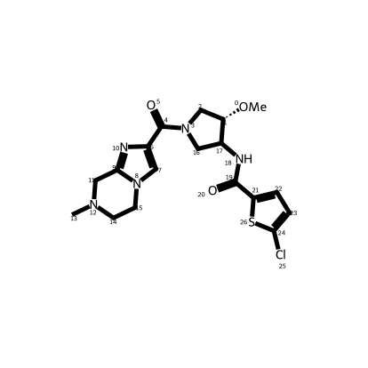 CO[C@H]1CN(C(=O)c2cn3c(n2)CN(C)CC3)CC1NC(=O)c1ccc(Cl)s1